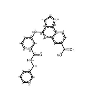 O=C(O)c1ccc2c(c1)nc(Nc1cccc(C(=O)NCc3cccnc3)c1)c1ccsc12